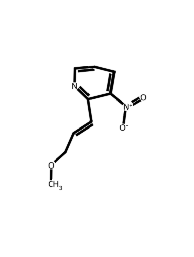 COCC=Cc1ncccc1[N+](=O)[O-]